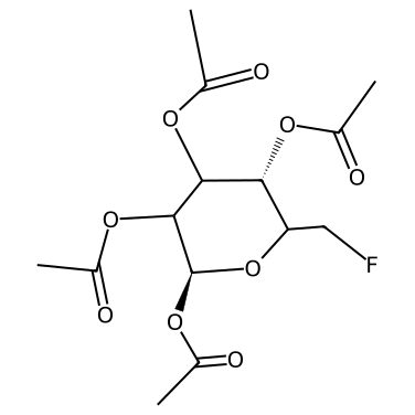 CC(=O)OC1C(OC(C)=O)[C@H](OC(C)=O)C(CF)O[C@H]1OC(C)=O